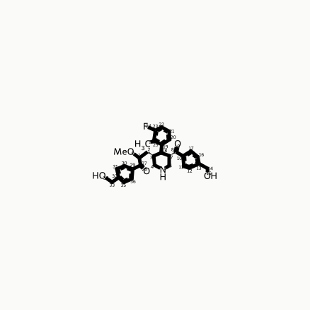 COC(C[C@H]1CNC[C@@H](C(=O)c2ccc(CO)cc2)C1c1cccc(F)c1C)C(=O)c1ccc(CO)cc1